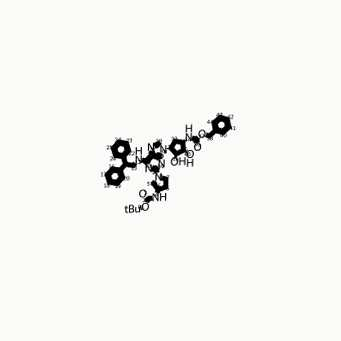 CC(C)(C)OC(=O)NC1CCN(c2nc(NCC(c3ccccc3)c3ccccc3)c3ncn([C@@H]4C[C@H](NC(=O)OCc5ccccc5)[C@@H](O)[C@H]4O)c3n2)C1